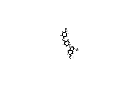 N#Cc1ccc2c(c1)c(Br)cn2-c1ccc(Oc2ccc(F)cc2)cc1